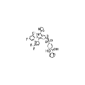 O=S(=O)(NC1CC2=C(c3ccn(C(F)F)n3)[C@H](c3ccc(F)cc3Cl)N=C(c3nccs3)N2C1)C1CCC(O)(C(O)c2ccccn2)CC1